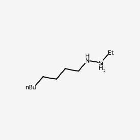 CCCCCCCCN[SiH2]CC